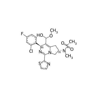 COC(O)C1=C2C[C@H](N(C)S(C)(=O)=O)CN2C(c2nccs2)=N[C@H]1c1ccc(F)cc1Cl